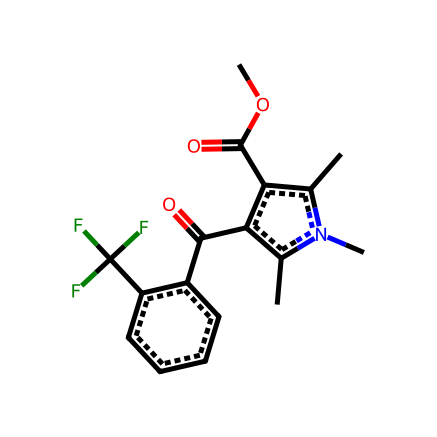 COC(=O)c1c(C(=O)c2ccccc2C(F)(F)F)c(C)n(C)c1C